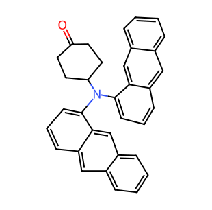 O=C1CCC(N(c2cccc3cc4ccccc4cc23)c2cccc3cc4ccccc4cc23)CC1